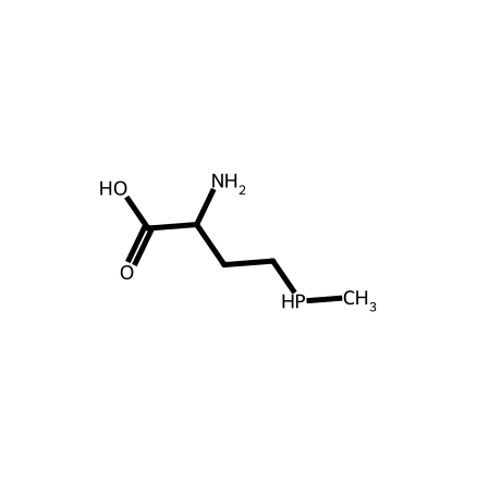 CPCCC(N)C(=O)O